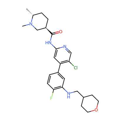 C[C@@H]1CC[C@@H](C(=O)Nc2cc(-c3ccc(F)c(NCC4CCOCC4)c3)c(Cl)cn2)CN1C